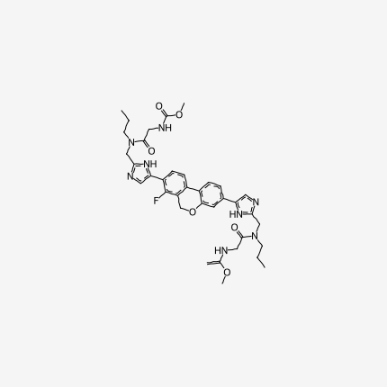 C=C(NCC(=O)N(CCC)Cc1ncc(-c2ccc3c(c2)OCc2c-3ccc(-c3cnc(CN(CCC)C(=O)CNC(=O)OC)[nH]3)c2F)[nH]1)OC